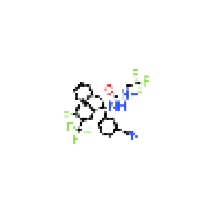 N#Cc1cccc(C(Cc2ccccc2)(NC(=O)NCC(F)(F)F)c2ccc(F)c(C(F)(F)F)c2)c1